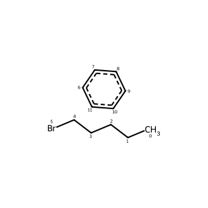 CCCCCBr.c1ccccc1